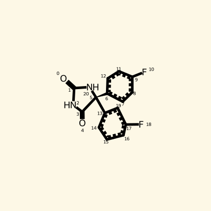 O=C1NC(=O)[C@@](c2ccc(F)cc2)(c2cccc(F)c2)N1